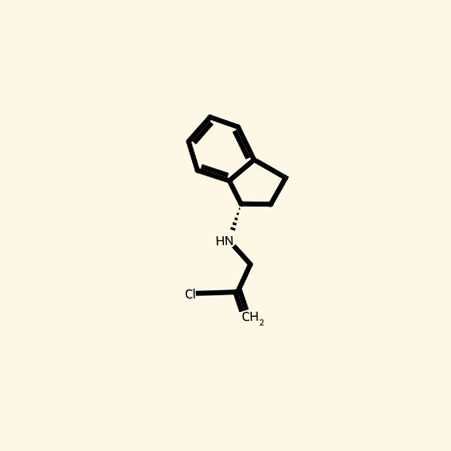 C=C(Cl)CN[C@H]1CCc2ccccc21